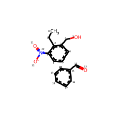 CCc1c(CO)cccc1[N+](=O)[O-].O=Cc1ccccc1